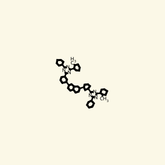 Cc1ccccc1-c1nc(-c2ccccc2)nc(-c2cccc(-c3ccc4ccc(-c5cccc(-c6nc(-c7ccccc7)nc(-c7ccccc7C)n6)c5)cc4c3)c2)n1